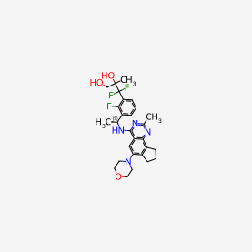 Cc1nc(N[C@@H](C)c2cccc(C(F)(F)C(C)(O)CO)c2F)c2cc(N3CCOCC3)c3c(c2n1)CCC3